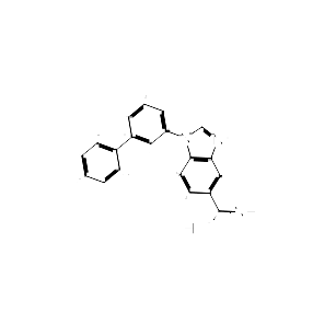 C[C@H](N)c1ccc2c(c1)ncn2-c1cccc(-c2ccccc2)c1